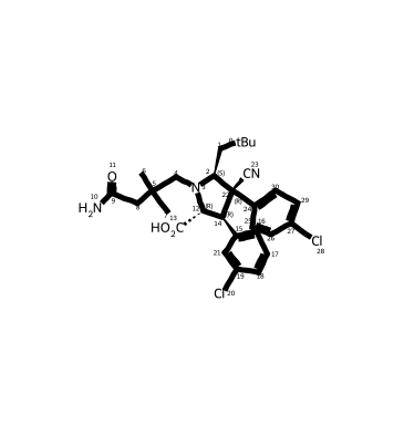 CC(C)(C)C[C@@H]1N(CC(C)(C)CC(N)=O)[C@@H](C(=O)O)[C@H](c2cccc(Cl)c2)[C@@]1(C#N)c1ccc(Cl)cc1